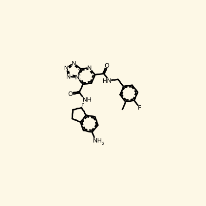 Cc1cc(CNC(=O)c2cc(C(=O)N[C@H]3CCc4cc(N)ccc43)n3nnnc3n2)ccc1F